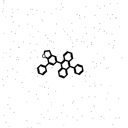 c1ccc(-c2cc(-c3c4ccccc4c(-c4ccccc4)c4ccccc34)cc3c2OCC3)cc1